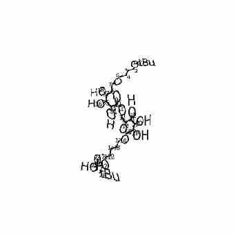 CC(C)(C)OCCCCOCC1OC(OCC2OC(OCCCCCOP(=O)(O)C(C)(C)C)C(O)C(O)C2O)C(O)C(O)C1O